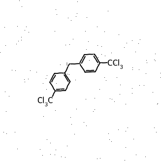 ClC(Cl)(Cl)c1ccc([C]c2ccc(C(Cl)(Cl)Cl)cc2)cc1